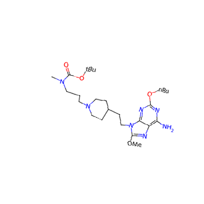 CCCCOc1nc(N)c2nc(OC)n(CCC3CCN(CCCN(C)C(=O)OC(C)(C)C)CC3)c2n1